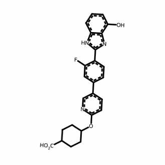 O=C(O)C1CCC(Oc2ccc(-c3ccc(-c4nc5c(O)cccc5[nH]4)c(F)c3)cn2)CC1